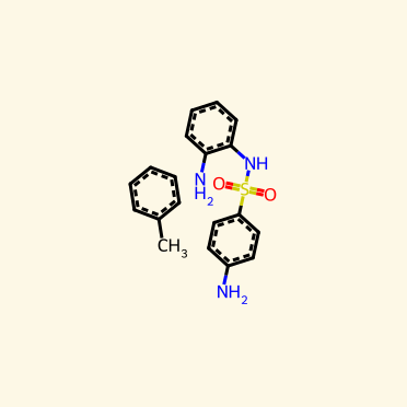 Cc1ccccc1.Nc1ccc(S(=O)(=O)Nc2ccccc2N)cc1